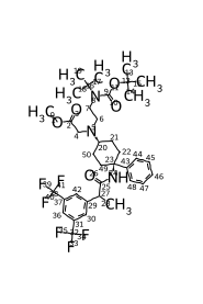 COC(=O)CN(CCN(C(=O)OC(C)(C)C)C(C)(C)C)[C@H]1CC[C@](NC(=O)C(C)c2cc(C(F)(F)F)cc(C(F)(F)F)c2)(c2ccccc2)CC1